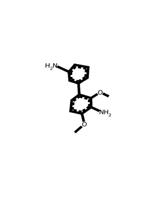 COc1ccc(-c2cccc(N)c2)c(OC)c1N